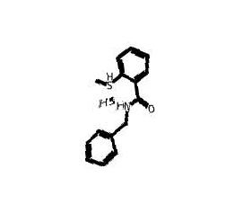 C[SH](S)c1ccccc1C(=O)NCc1ccccc1